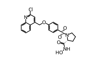 O=C(NO)[C@H]1CCCN1S(=O)(=O)c1ccc(OCc2cc(Cl)nc3ccccc23)cc1